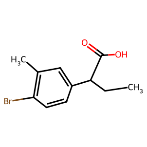 CCC(C(=O)O)c1ccc(Br)c(C)c1